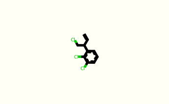 C=CC(CCl)c1cccc(Cl)c1Cl